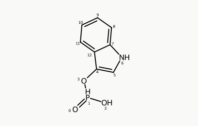 O=[PH](O)Oc1c[nH]c2ccccc12